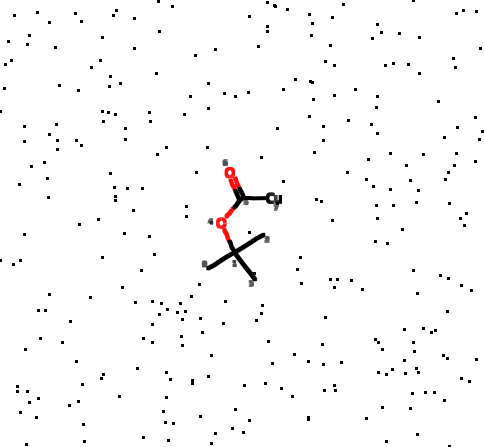 CC(C)(C)O[C](=O)[Cu]